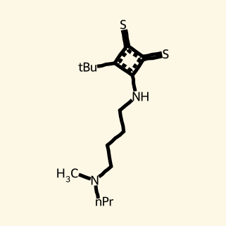 CCCN(C)CCCCNc1c(C(C)(C)C)c(=S)c1=S